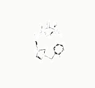 C=CN1C=CN(Cc2ccccc2)C1.O=S(=O)(NS(=O)(=O)C(F)(F)F)C(F)(F)F